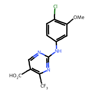 COc1cc(Nc2ncc(C(=O)O)c(C(F)(F)F)n2)ccc1Cl